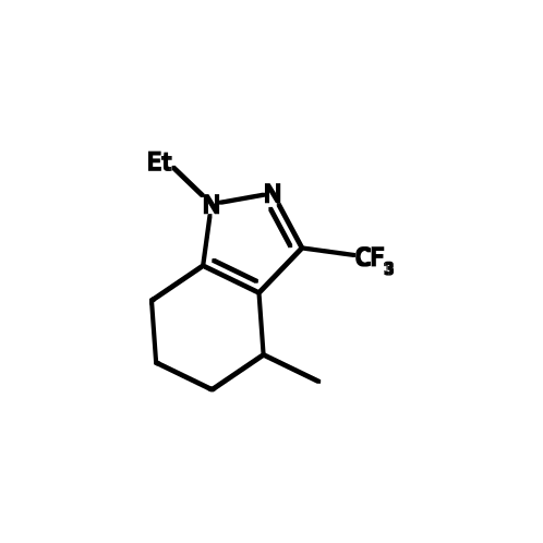 CCn1nc(C(F)(F)F)c2c1CCCC2C